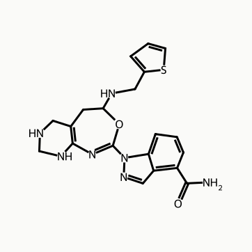 NC(=O)c1cccc2c1cnn2C1=NC2=C(CNCN2)CC(NCc2cccs2)O1